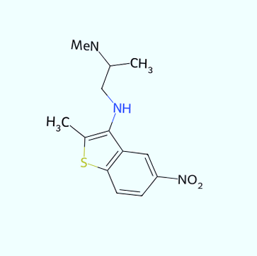 CNC(C)CNc1c(C)sc2ccc([N+](=O)[O-])cc12